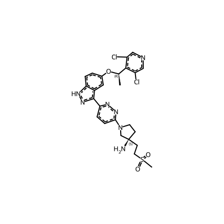 C[C@@H](Oc1ccc2[nH]nc(-c3ccc(N4CC[C@](N)(CCS(C)(=O)=O)C4)nn3)c2c1)c1c(Cl)cncc1Cl